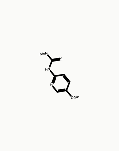 CNC(=S)Nc1ccc(OC)cn1